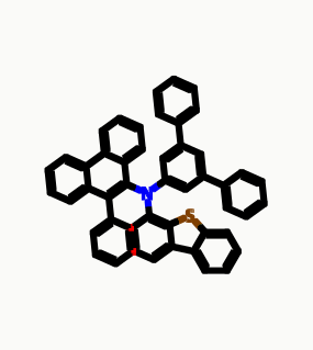 c1ccc(-c2cc(-c3ccccc3)cc(N(c3c(-c4ccccc4)c4ccccc4c4ccccc34)c3cccc4c3sc3ccccc34)c2)cc1